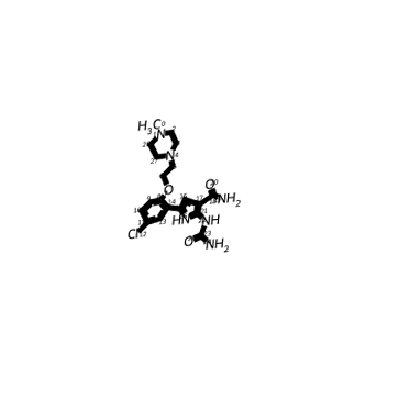 CN1CCN(CCOc2ccc(Cl)cc2-c2cc(C(N)=O)c(NC(N)=O)[nH]2)CC1